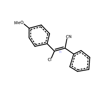 COc1ccc(/C(Cl)=C(\C#N)c2ccccc2)cc1